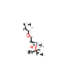 C=CCOCC=C.CC(C)C(C)(C)O